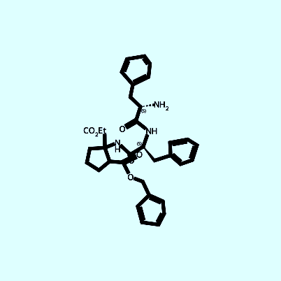 CCOC(=O)C1(NC(=O)[C@H](Cc2ccccc2)NC(=O)[C@@H](N)Cc2ccccc2)CCCC1C(=O)OCc1ccccc1